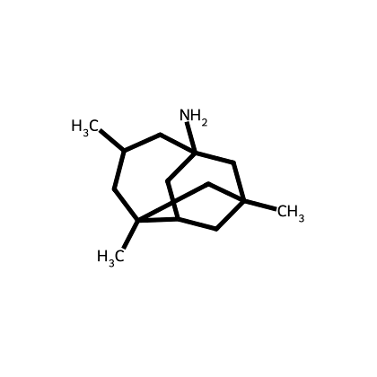 CC1CC2(N)CC3CC(C)(C2)CC3(C)C1